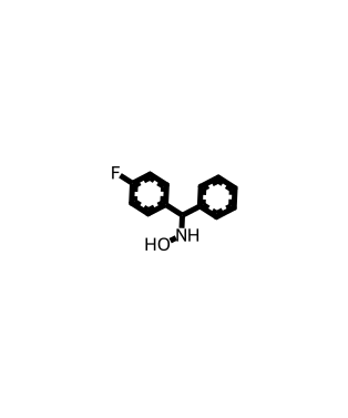 ONC(c1ccccc1)c1ccc(F)cc1